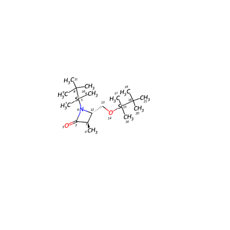 C[C@H]1C(=O)N([Si](C)(C)C(C)(C)C)[C@@H]1CO[Si](C)(C)C(C)(C)C